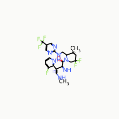 CN/C=C(\C(=N)C(=O)N1CC(F)(F)C[C@@H](C)C1CNc1ncc(C(F)(F)F)cn1)c1ncccc1F